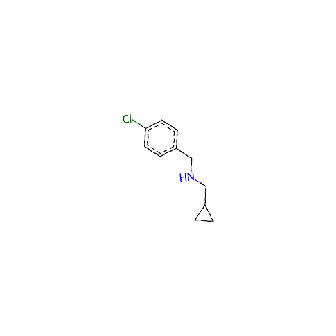 Clc1ccc(CNCC2CC2)cc1